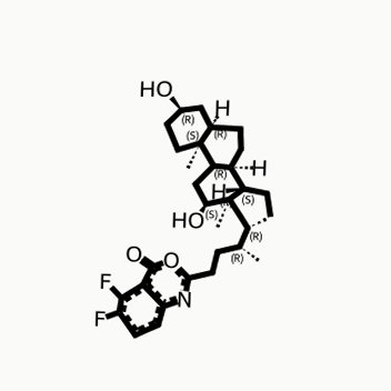 C[C@H](CCc1nc2ccc(F)c(F)c2c(=O)o1)[C@H]1CC[C@H]2[C@@H]3CC[C@@H]4C[C@H](O)CC[C@]4(C)C3C[C@H](O)[C@]12C